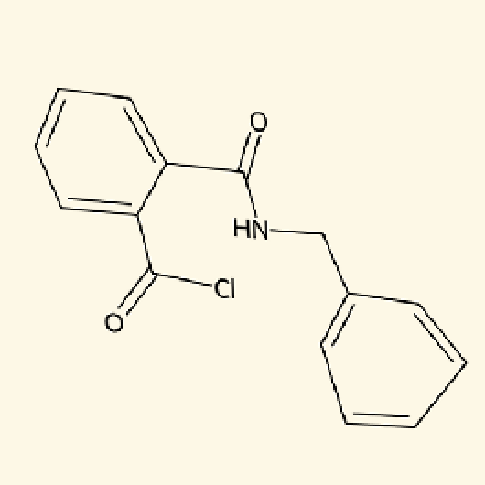 O=C(Cl)c1ccccc1C(=O)NCc1ccccc1